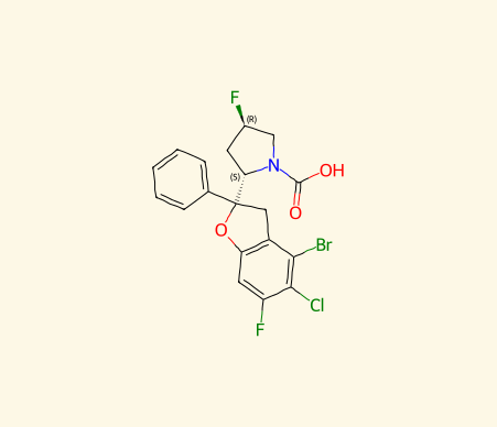 O=C(O)N1C[C@H](F)C[C@H]1C1(c2ccccc2)Cc2c(cc(F)c(Cl)c2Br)O1